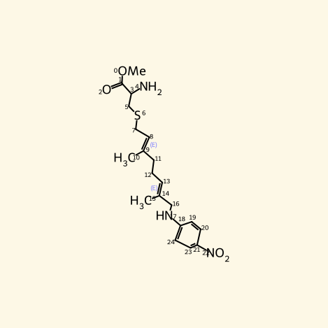 COC(=O)C(N)CSC/C=C(\C)CC/C=C(\C)CNc1ccc([N+](=O)[O-])cc1